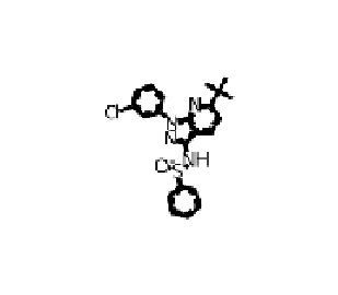 CC(C)(C)c1ccc2c(N[S+]([O-])c3ccccc3)nn(-c3cccc(Cl)c3)c2n1